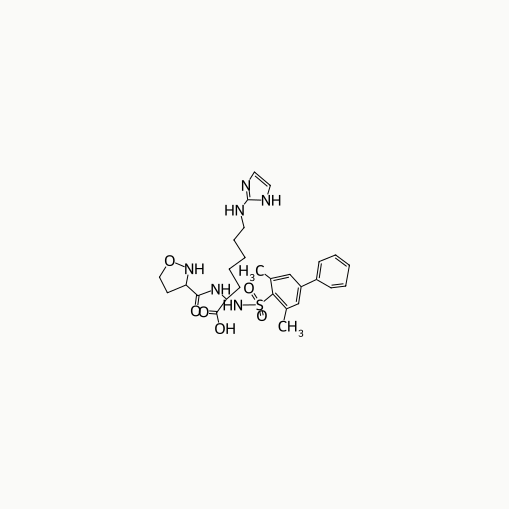 Cc1cc(-c2ccccc2)cc(C)c1S(=O)(=O)NC(CCCCCNc1ncc[nH]1)(NC(=O)C1CCON1)C(=O)O